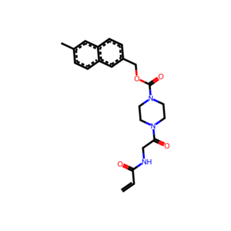 C=CC(=O)NCC(=O)N1CCN(C(=O)OCc2ccc3cc(C)ccc3c2)CC1